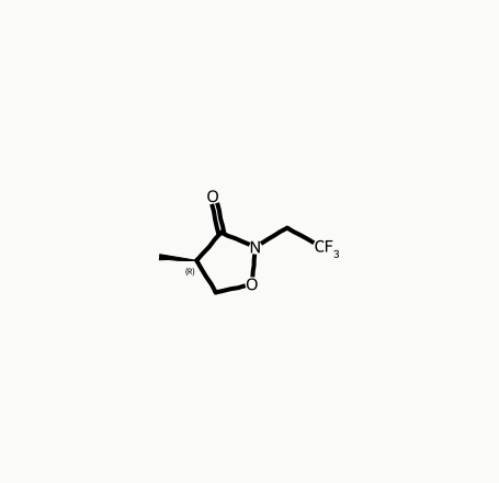 C[C@@H]1CON(CC(F)(F)F)C1=O